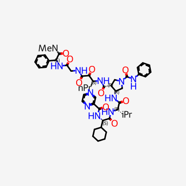 CCC[C@H](NC(=O)[C@@H]1CN(C(=O)Nc2ccccc2)C[C@@H]1NC(=O)[C@@H](NC(=O)[C@@H](NC(=O)c1cnccn1)C1CCCCC1)C(C)C)C(=O)C(=O)NCC(=O)N[C@H](C(=O)NC)c1ccccc1